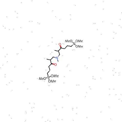 CO[Si](CCCC(=O)C(C)CN(C)CC(C)C(=O)CCC[Si](OC)(OC)OC)(OC)OC